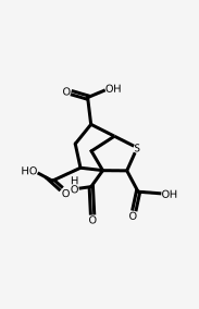 O=C(O)C1CC(C(=O)O)C2(C(=O)O)CC1SC2C(=O)O